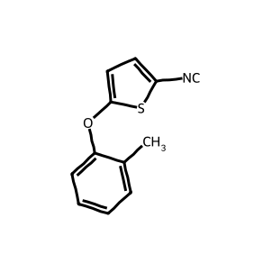 [C-]#[N+]c1ccc(Oc2ccccc2C)s1